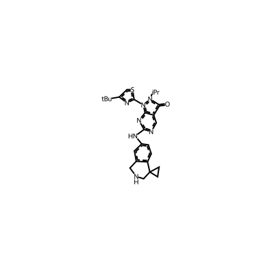 CC(C)n1c(=O)c2cnc(Nc3ccc4c(c3)CNCC43CC3)nc2n1-c1nc(C(C)(C)C)cs1